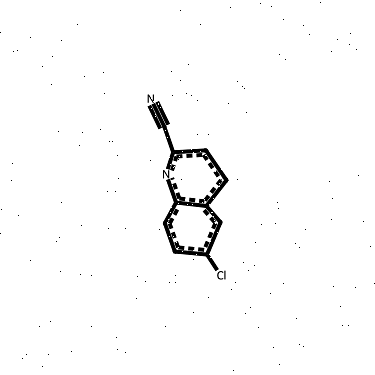 N#Cc1ccc2cc(Cl)ccc2n1